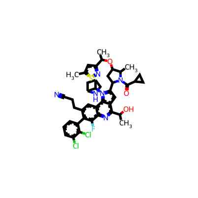 Cc1cc(C(C)OC2CC(c3cc4c(C(C)O)nc5c(F)c(-c6cccc(Cl)c6Cl)c(CCC#N)cc5c4n3C3C4CNC3C4)N(C(=O)C3CC3)C2C)ns1